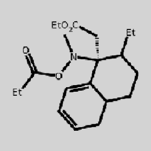 CCOC(=O)C[C@@]1(N(C)OC(=O)CC)C2=CC=CCC2CCC1CC